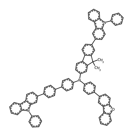 CC1(C)c2cc(-c3ccc4c(c3)c3ccccc3n4-c3ccccc3)ccc2-c2ccc(N(c3ccc(-c4ccc(-c5ccc6c7ccccc7n(-c7ccccc7)c6c5)cc4)cc3)c3ccc(-c4ccc5oc6ccccc6c5c4)cc3)cc21